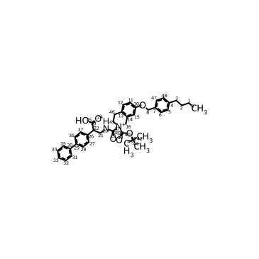 CCCCc1ccc(COc2ccc3c(c2)C[N+](C(=O)NCC(C(=O)O)c2ccc(-c4ccccc4)cc2)(C(=O)OC(C)(C)C)CC3)cc1